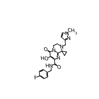 Cn1ccc(CN2CCn3c(nc(C(=O)NCc4ccc(F)cc4)c(O)c3=O)C23CC3)n1